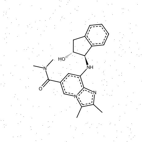 Cc1nc2c(N[C@@H]3c4ccccc4C[C@H]3O)cc(C(=O)N(C)C)cn2c1C